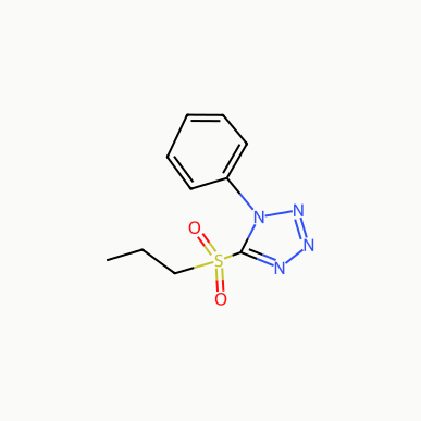 CCCS(=O)(=O)c1nnnn1-c1ccccc1